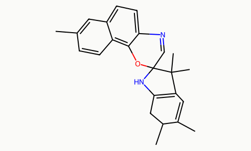 CC1=CC2=C(CC1C)NC1(C=Nc3ccc4cc(C)ccc4c3O1)C2(C)C